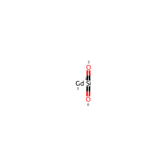 O=[Si]=O.[Gd]